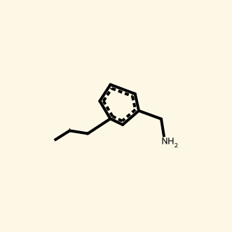 C[CH]Cc1cccc(CN)c1